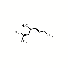 CC/C=C/[C](C)C=C(C)C